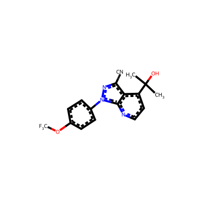 CC(C)(O)c1ccnc2c1c(C#N)nn2-c1ccc(OC(F)(F)F)cc1